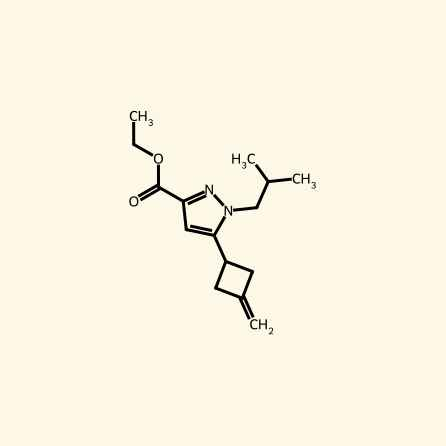 C=C1CC(c2cc(C(=O)OCC)nn2CC(C)C)C1